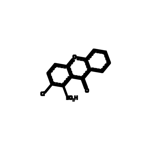 O=c1c2ccccc2oc2ccc(Cl)c(S(=O)(=O)O)c12